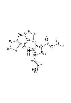 CC(C)OC(=O)c1nc(Nc2c3c(cc4c2CCC4)CCC3)c(C=NO)s1